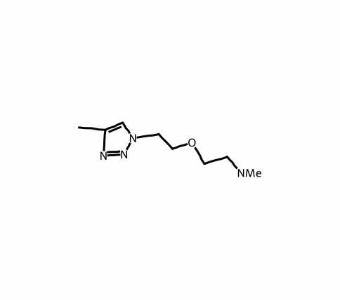 CNCCOCCn1cc(C)nn1